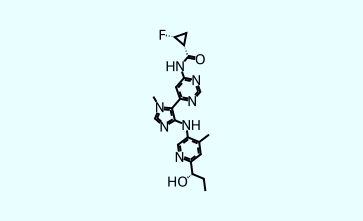 CC[C@H](O)c1cc(C)c(Nc2ncn(C)c2-c2cc(NC(=O)[C@H]3C[C@H]3F)ncn2)cn1